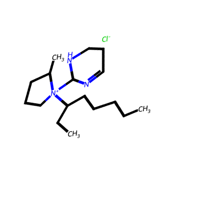 CCCCCC(CC)[N+]1(C2N=CCCN2)CCCC1C.[Cl-]